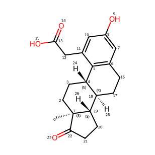 C[C@]12CC[C@@H]3c4c(cc(O)cc4CC(=O)O)CC[C@H]3[C@@H]1CCC2=O